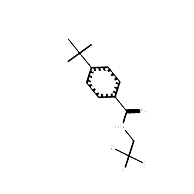 CC(C)(C)c1ccc(C(=O)NCC(F)(F)F)cc1